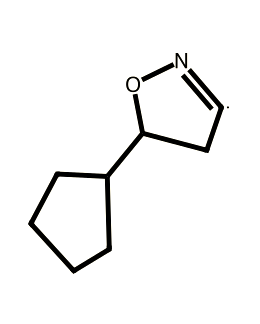 [C]1=NOC(C2CCCC2)C1